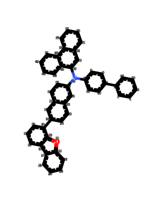 c1ccc(-c2ccc(N(c3ccc4cc(-c5cccc6c5oc5ccccc56)ccc4c3)c3cc4ccccc4c4ccccc34)cc2)cc1